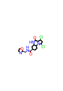 O=C(NCc1ncco1)c1ccc2c(c1)[nH]c(=O)c1c(Cl)cc(Cl)n12